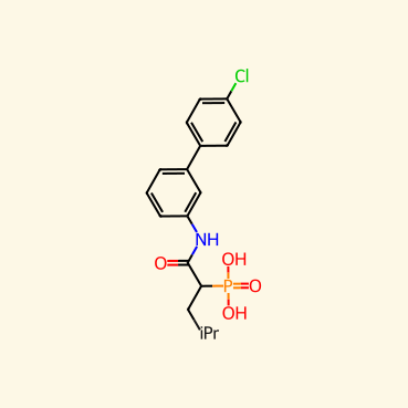 CC(C)CC(C(=O)Nc1cccc(-c2ccc(Cl)cc2)c1)P(=O)(O)O